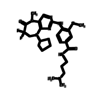 COc1cc(C(=O)NCCCN(C)C)ccc1Nc1ncc2c(n1)N(C1CCCC1)CC(F)(F)C(=O)N2C